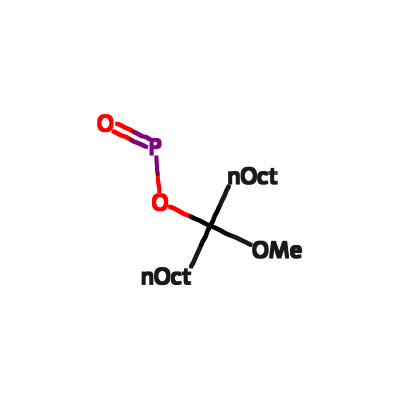 CCCCCCCCC(CCCCCCCC)(OC)OP=O